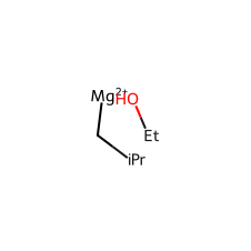 CC(C)[CH2][Mg+2].CCO